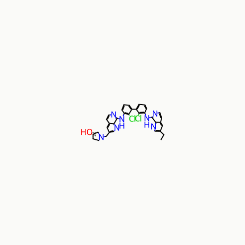 CCc1cnc2c(Nc3cccc(-c4cccc(Nc5nccc6cc(CN7CC[C@@H](O)C7)cnc56)c4Cl)c3Cl)nccc2c1